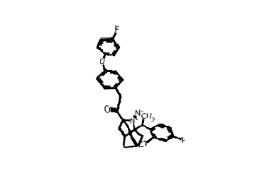 CC(c1ccc(F)cc1Cl)C12CC3CC1CC3(C(=O)Cc1ccc(Oc3ccc(F)cc3)cc1)[N+]2=[N-]